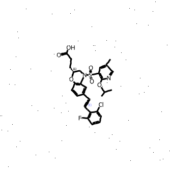 Cc1cnc(OC(C)C)c(S(=O)(=O)N2C[C@H](CCC(=O)O)Oc3ccc(/C=C/c4c(F)cccc4Cl)cc32)c1